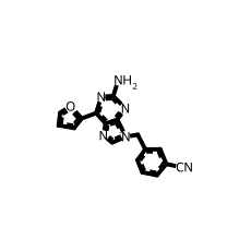 N#Cc1cccc(Cn2cnc3c(-c4ccco4)nc(N)nc32)c1